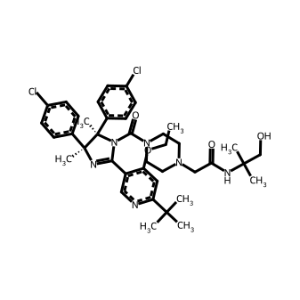 CCOc1cc(C(C)(C)C)ncc1C1=N[C@@](C)(c2ccc(Cl)cc2)[C@@](C)(c2ccc(Cl)cc2)N1C(=O)N1CCN(CC(=O)NC(C)(C)CO)CC1